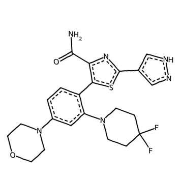 NC(=O)c1nc(-c2cn[nH]c2)sc1-c1ccc(N2CCOCC2)cc1N1CCC(F)(F)CC1